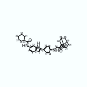 O=C(Nc1ccc2cc(-c3ccc(NCC(=O)C45CC6CC(C4)C(=O)C(C6)C5)cc3)[nH]c2c1)C1CCCCC1